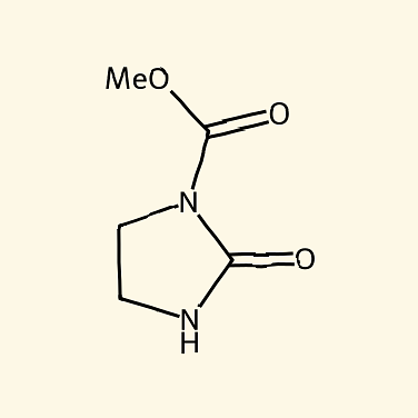 COC(=O)N1CCNC1=O